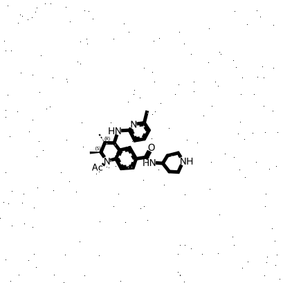 CC(=O)N1c2ccc(C(=O)NC3CCNCC3)cc2C(Nc2cccc(C)n2)[C@@H](C)[C@@H]1C